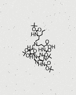 CCCC(CCN(CCC(NC(=O)OC(C)(C)C)C(=O)O)C[C@H]1O[C@@H](n2cnc3c(NC(=O)OC(C)(C)C)ncnc32)[C@@H]2OC(C)(C)O[C@@H]21)NC(=O)OC(C)(C)C